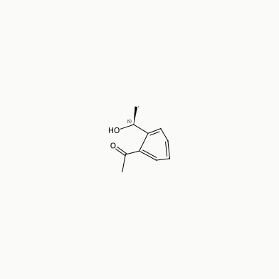 [CH2][C@H](O)c1ccccc1C(C)=O